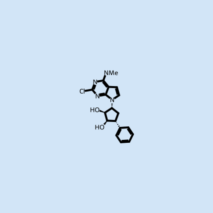 CNc1nc(Cl)nc2c1ccn2[C@@H]1C[C@H](c2ccccc2)[C@@H](O)[C@H]1O